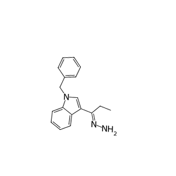 CCC(=NN)c1cn(Cc2ccccc2)c2ccccc12